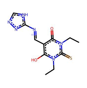 CCn1c(O)c(/C=N/c2nnc[nH]2)c(=O)n(CC)c1=S